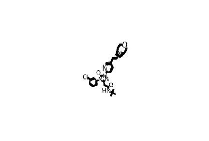 CC(C)(C)NC(=O)Cc1nn(-c2ccc(CCN3C4CCC3COC4)cn2)c(=O)n1-c1cccc(Cl)c1